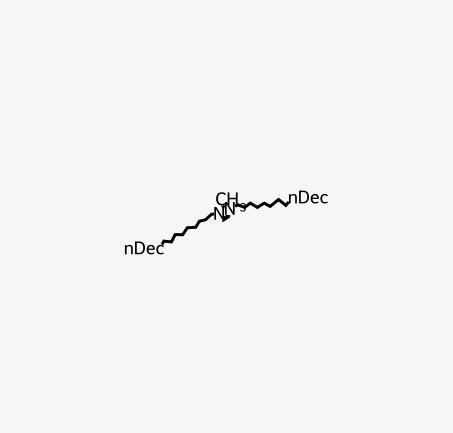 CCCCCCCCCCCCCCCCCCCN1C=CN(CCCCCCCCCCCCCCCCCC)C1C